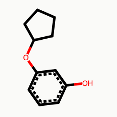 Oc1cccc(OC2CCCC2)c1